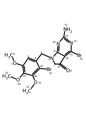 COc1cc(CN2CC(=O)c3c(Br)nc(N)nc32)c(Br)c(OC)c1OC